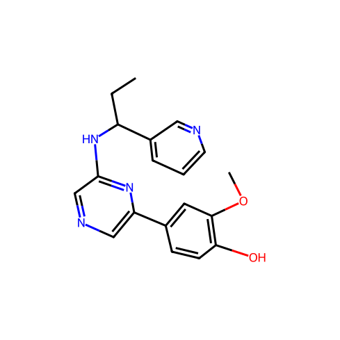 CCC(Nc1cncc(-c2ccc(O)c(OC)c2)n1)c1cccnc1